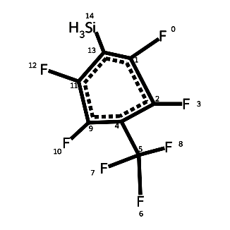 Fc1c(F)c(C(F)(F)F)c(F)c(F)c1[SiH3]